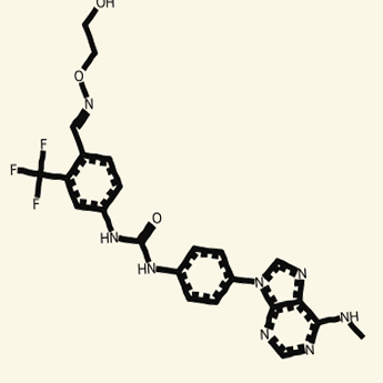 CNc1ncnc2c1ncn2-c1ccc(NC(=O)Nc2ccc(C=NOCCO)c(C(F)(F)F)c2)cc1